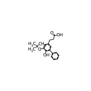 CC(C)(C)Oc1cc(CCC(=O)O)cc(-c2ccccc2)c1O